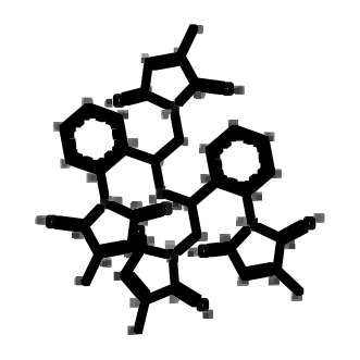 CC1=CC(=O)N(CC(SC(CN2C(=O)C=C(C)C2=O)c2ccccc2N2C(=O)C=C(C)C2=O)c2ccccc2N2C(=O)C=C(C)C2=O)C1=O